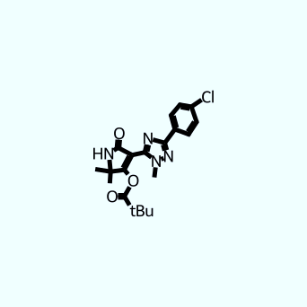 Cn1nc(-c2ccc(Cl)cc2)nc1C1=C(OC(=O)C(C)(C)C)C(C)(C)NC1=O